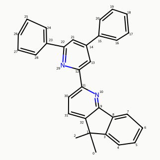 CC1(C)c2ccccc2-c2nc(-c3cc(-c4ccccc4)cc(-c4ccccc4)n3)ccc21